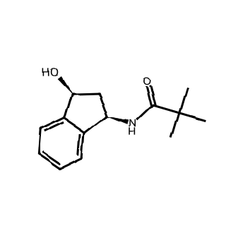 CC(C)(C)C(=O)N[C@@H]1C[C@H](O)c2ccccc21